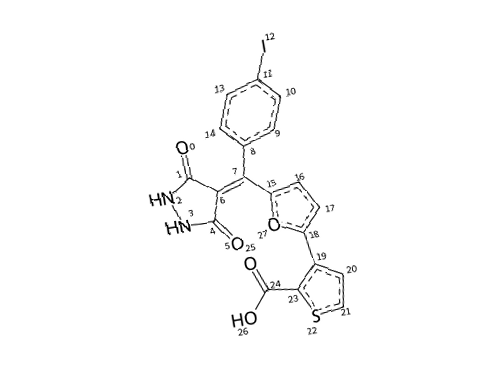 O=C1NNC(=O)C1=C(c1ccc(I)cc1)c1ccc(-c2ccsc2C(=O)O)o1